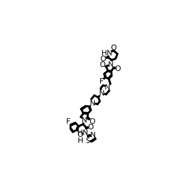 O=C1CCC(N2C(=O)c3cc(F)c(CN4CCN(C5CCN(c6ccc7c(c6)C(=O)N(C(C(=O)Nc6nccs6)c6cc(F)ccc6O)C7)CC5)CC4)cc3C2=O)C(=O)N1